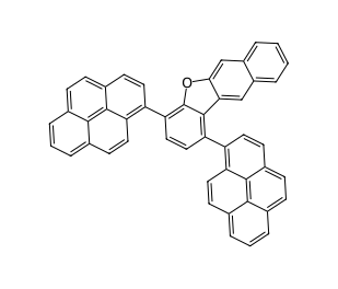 c1ccc2cc3c(cc2c1)oc1c(-c2ccc4ccc5cccc6ccc2c4c56)ccc(-c2ccc4ccc5cccc6ccc2c4c56)c13